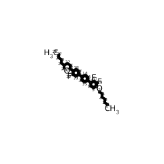 CCCCCCCOc1ccc(-c2ccc(-c3ccc(C4CCC(CCCCC)CO4)c(F)c3)cc2)c(F)c1F